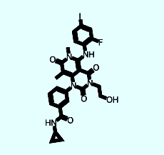 Cc1c(=O)n(C)c(Nc2ccc(I)cc2F)c2c(=O)n(CCO)c(=O)n(-c3cccc(C(=O)NC4CC4)c3)c12